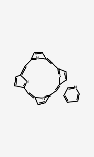 C1=CC2=NC1=CC1=NC(=CC3=NC(=CC4=NC(=C2)C=C4)C=C3)C=C1.c1ccncc1